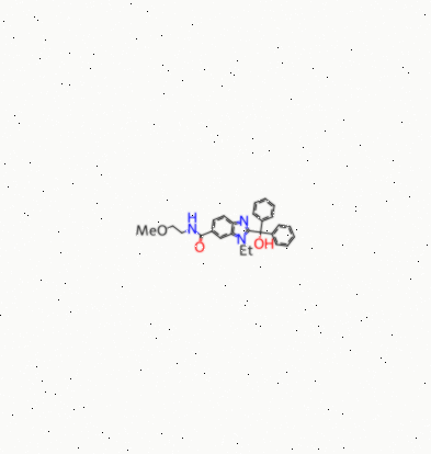 CCn1c(C(O)(c2ccccc2)c2ccccc2)nc2ccc(C(=O)NCCOC)cc21